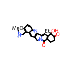 CC[C@@]1(O)C(=O)CCc2c1cc1n(c2=O)Cc2cc3c(CN(C)C)c(OC)ccc3nc2-1